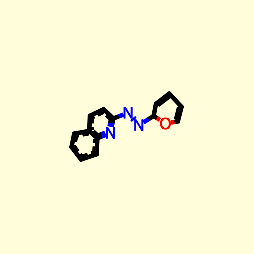 C1=COC(N=Nc2ccc3ccccc3n2)C=C1